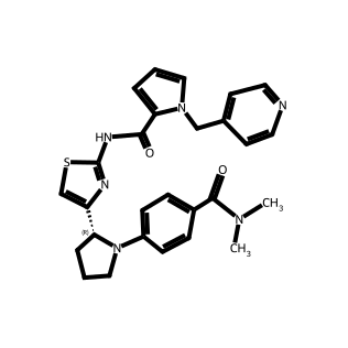 CN(C)C(=O)c1ccc(N2CCC[C@@H]2c2csc(NC(=O)c3cccn3Cc3ccncc3)n2)cc1